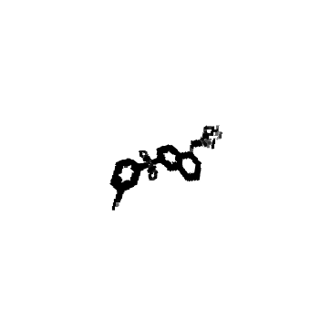 CNC[C@@H]1CCCc2cc(S(=O)(=O)c3cccc(F)c3)ccc21